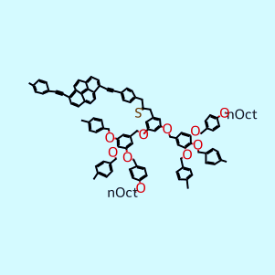 CCCCCCCCOc1ccc(COc2cc(COc3cc(CC(=S)Cc4ccc(C#Cc5ccc6ccc7c(C#Cc8ccc(C)cc8)ccc8ccc5c6c87)cc4)cc(OCc4cc(OCc5ccc(C)cc5)c(OCc5ccc(C)cc5)c(OCc5ccc(OCCCCCCCC)cc5)c4)c3)cc(OCc3ccc(C)cc3)c2OCc2ccc(C)cc2)cc1